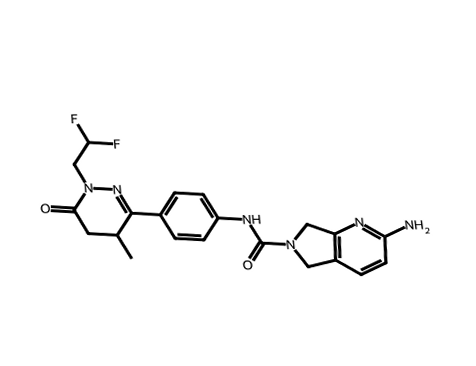 CC1CC(=O)N(CC(F)F)N=C1c1ccc(NC(=O)N2Cc3ccc(N)nc3C2)cc1